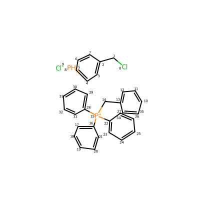 ClCc1ccccc1.P.[Cl-].c1ccc(C[P+](c2ccccc2)(c2ccccc2)c2ccccc2)cc1